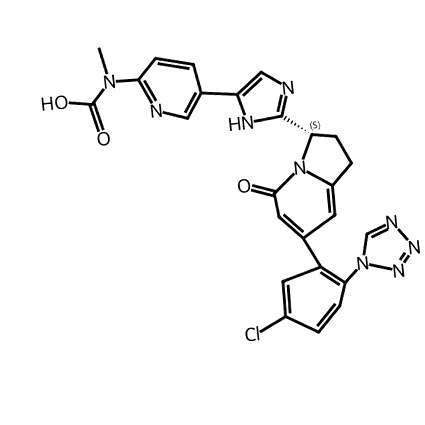 CN(C(=O)O)c1ccc(-c2cnc([C@@H]3CCc4cc(-c5cc(Cl)ccc5-n5cnnn5)cc(=O)n43)[nH]2)cn1